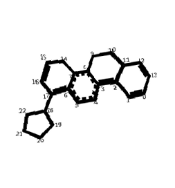 C1=CC2=c3ccc4c(c3CCC2C=C1)CC=CC=4C1CCCC1